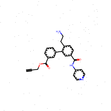 C#CCOC(=O)c1cccc(-c2cc(C(=O)Nc3ccncc3)ccc2CCN)c1